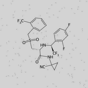 N#CC1(NC(=O)[C@H](CS(=O)(=O)Cc2ccccc2C(F)(F)F)N[C@@H](c2ccc(F)cc2F)C(F)(F)F)CC1